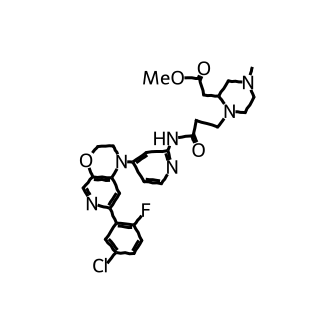 COC(=O)CC1CN(C)CCN1CCC(=O)Nc1cc(N2CCOc3cnc(-c4cc(Cl)ccc4F)cc32)ccn1